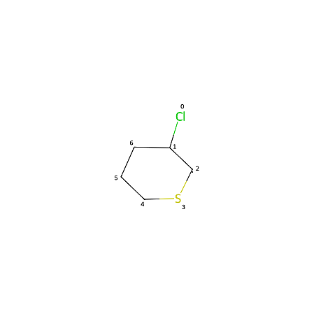 ClC1[CH]SCCC1